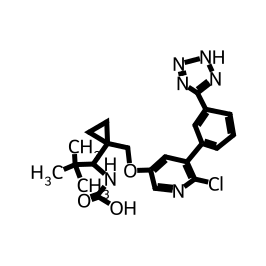 CC(C)(C)C(NC(=O)O)C1(COc2cnc(Cl)c(-c3cccc(-c4nn[nH]n4)c3)c2)CC1